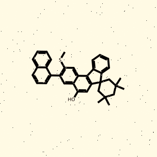 CSc1cc2c3c(cc(O)c2cc1-c1cccc2ccccc12)C1(CC(C)(C)CC(C)(C)C1)c1ccccc1-3